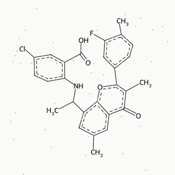 Cc1cc(C(C)Nc2ccc(Cl)cc2C(=O)O)c2oc(-c3ccc(C)c(F)c3)c(C)c(=O)c2c1